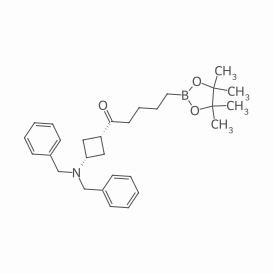 CC1(C)OB(CCCCC(=O)[C@H]2C[C@@H](N(Cc3ccccc3)Cc3ccccc3)C2)OC1(C)C